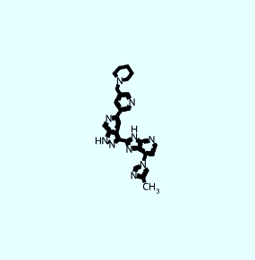 Cc1cn(-c2ccnc3[nH]c(-c4n[nH]c5cnc(-c6cncc(CN7CCCCC7)c6)cc45)nc23)cn1